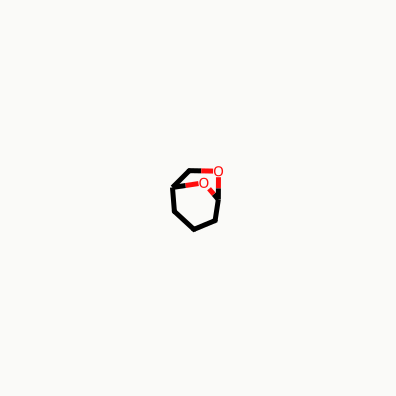 C1CC2COC(C1)O2